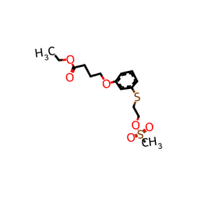 CCOC(=O)CCCOc1cccc(SCCOS(C)(=O)=O)c1